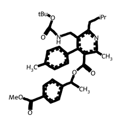 COC(=O)c1ccc(C(C)OC(=O)c2c(C)nc(CC(C)C)c(CNC(=O)OC(C)(C)C)c2-c2ccc(C)cc2)cc1